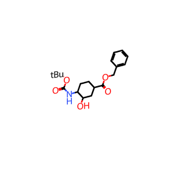 CC(C)(C)OC(=O)NC1CCC(C(=O)OCc2ccccc2)CC1O